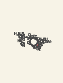 CC[C@H]1OC(=O)C(C)[C@@H](O[C@H]2CC(C)(OC)[C@@H](O)[C@H](C)O2)[C@H](C)C(O[C@@H]2O[C@H](C)CC(N(C)C)[C@H]2O)[C@](C)(OC)C[C@@H](C)C(=O)[C@H](C)C2C(SCCn3cnc4c(N)ncc(C(=O)Nc5ccncc5)c43)C(=O)O[C@@]21C